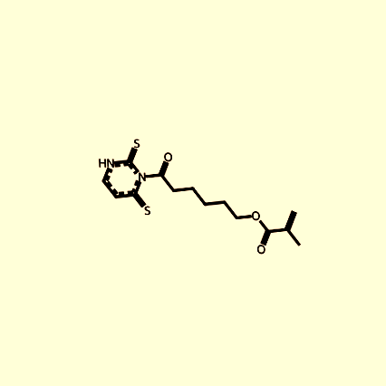 C=C(C)C(=O)OCCCCCC(=O)n1c(=S)cc[nH]c1=S